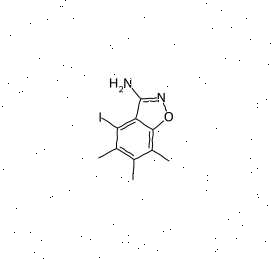 Cc1c(C)c(I)c2c(N)noc2c1C